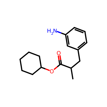 CC(Cc1cccc(N)c1)C(=O)OC1CCCCC1